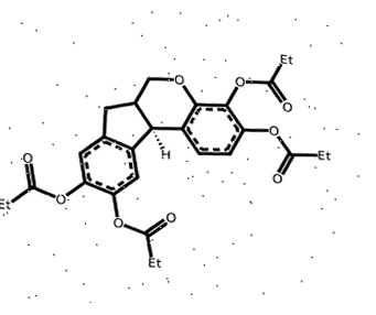 CCC(=O)Oc1cc2c(cc1OC(=O)CC)[C@@H]1c3ccc(OC(=O)CC)c(OC(=O)CC)c3OCC1C2